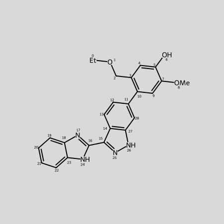 CCOCc1cc(O)c(OC)cc1-c1ccc2c(-c3nc4ccccc4[nH]3)n[nH]c2c1